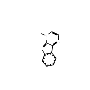 [O-][NH+]1C=CN=C2C1=Nc1ccccc12